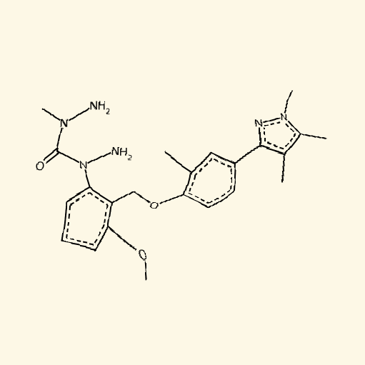 COc1cccc(N(N)C(=O)N(C)N)c1COc1ccc(-c2nn(C)c(C)c2C)cc1C